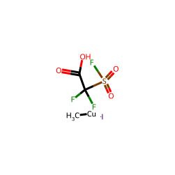 O=C(O)C(F)(F)S(=O)(=O)F.[CH3][Cu].[I]